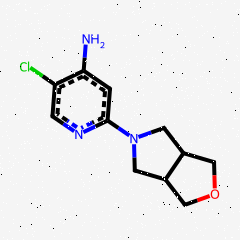 Nc1cc(N2CC3COCC3C2)ncc1Cl